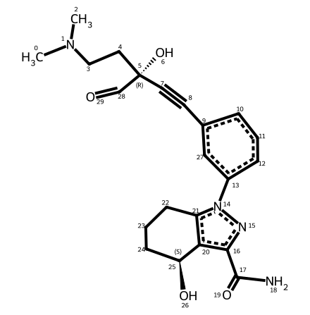 CN(C)CC[C@@](O)(C#Cc1cccc(-n2nc(C(N)=O)c3c2CCC[C@@H]3O)c1)C=O